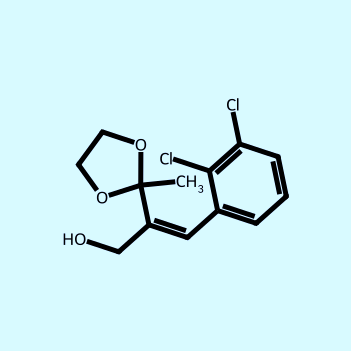 CC1(C(=Cc2cccc(Cl)c2Cl)CO)OCCO1